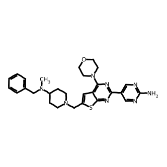 CN(Cc1ccccc1)C1CCN(Cc2cc3c(N4CCOCC4)nc(-c4cnc(N)nc4)nc3s2)CC1